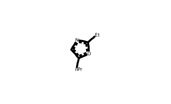 [CH2]Cc1ncc(CCC)o1